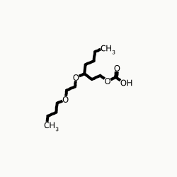 CCCCOCCOC(CCCC)CCOC(=O)O